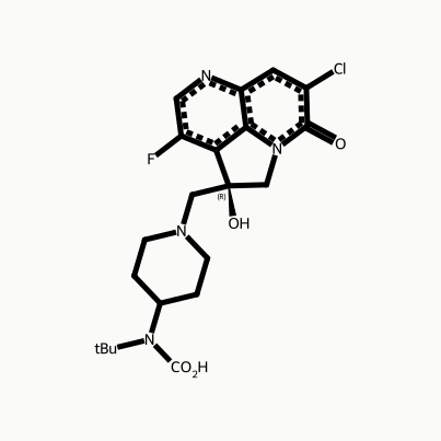 CC(C)(C)N(C(=O)O)C1CCN(C[C@@]2(O)Cn3c(=O)c(Cl)cc4ncc(F)c2c43)CC1